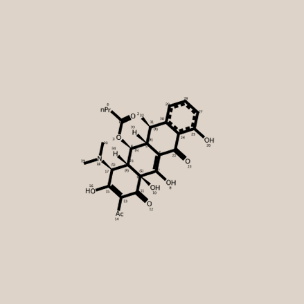 CCCC(=O)O[C@H]1[C@H]2C(=C(O)[C@]3(O)C(=O)C(C(C)=O)=C(O)[C@@H](N(C)C)[C@H]13)C(=O)c1c(O)cccc1[C@@H]2C